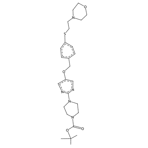 CC(C)(C)OC(=O)N1CCN(c2ncc(OCc3ccc(SCCN4CCOCC4)cc3)cn2)CC1